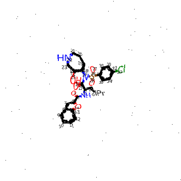 CC(C)CC(NC(=O)c1cc2ccccc2o1)C(=O)N(C1CCCNC[C@@H]1O)S(=O)(=O)c1ccc(Cl)cc1